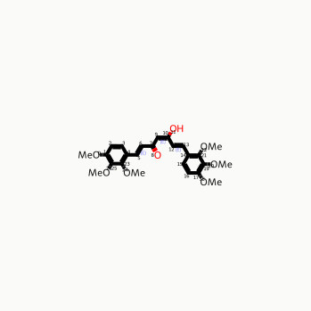 COc1ccc(/C=C/C(=O)/C=C(O)\C=C\c2ccc(OC)c(OC)c2OC)c(OC)c1OC